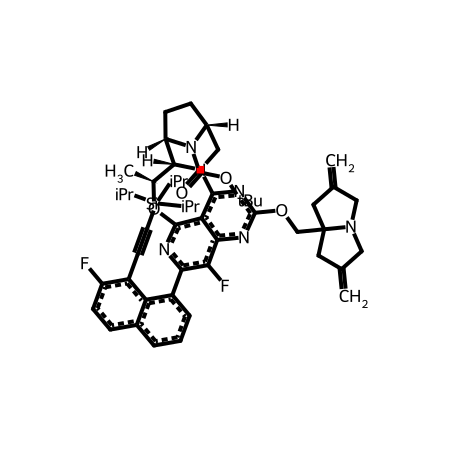 C=C1CN2CC(=C)CC2(COc2nc3c4c(nc(-c5cccc6ccc(F)c(C#C[Si](C(C)C)(C(C)C)C(C)C)c56)c(F)c4n2)O[C@@H](C)[C@@H]2[C@@H]4CC[C@H](CN32)N4C(=O)OC(C)(C)C)C1